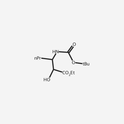 CCCC(NC(=O)OC(C)(C)C)C(O)C(=O)OCC